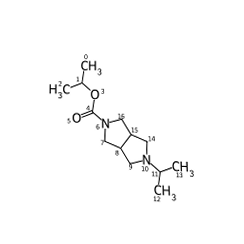 CC(C)OC(=O)N1CC2CN(C(C)C)CC2C1